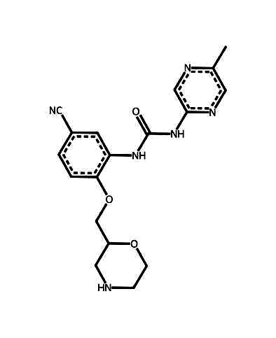 Cc1cnc(NC(=O)Nc2cc(C#N)ccc2OCC2CNCCO2)cn1